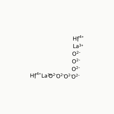 [Hf+4].[Hf+4].[La+3].[La+3].[O-2].[O-2].[O-2].[O-2].[O-2].[O-2].[O-2]